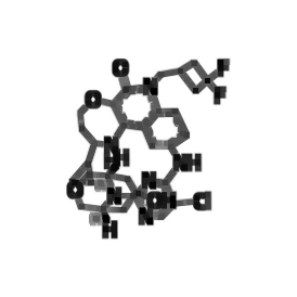 O=c1c2c(c3cc(Nc4nc(N5[C@@H]6COC[C@H]5CC(O)C6)ncc4Cl)ccc3n1CC1CC(F)(F)C1)NC(C1CC1)CCO2